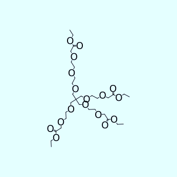 CCOC(=O)COCCOCCOCC(COCCOCC(=O)OCC)(COCCOCC(=O)OCC)COCCOCC(=O)OCC